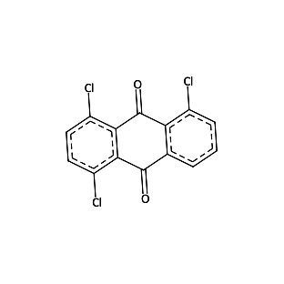 O=C1c2cccc(Cl)c2C(=O)c2c(Cl)ccc(Cl)c21